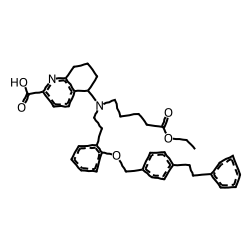 CCOC(=O)CCCCN(CCc1ccccc1OCc1ccc(CCc2ccccc2)cc1)C1CCCc2nc(C(=O)O)ccc21